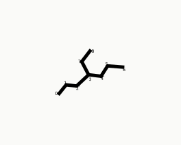 CC[CH]C([CH]CC)CC